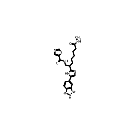 CNC(=O)CCCCCC(CNC(=O)c1cncs1)c1ncc(-c2ccc3c(c2)NNN3)[nH]1